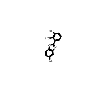 Oc1ccc2oc(-c3cccc(O)c3O)nc2c1